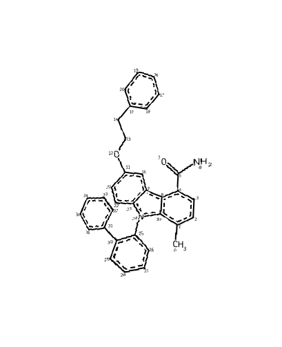 Cc1ccc(C(N)=O)c2c3cc(OCCc4ccccc4)ccc3n(-c3ccccc3-c3ccccc3)c12